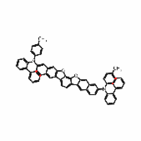 Cc1ccc(N(c2ccc3cc4c(cc3c2)oc2c4ccc3c4cc5ccc(N(c6ccc(C)cc6)c6ccccc6-c6ccccc6)cc5cc4oc32)c2ccccc2-c2ccccc2)cc1